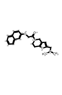 CN(C)Cc1cc2c(o1)CCN(C(=O)COc1ccc3ccccc3c1)C2